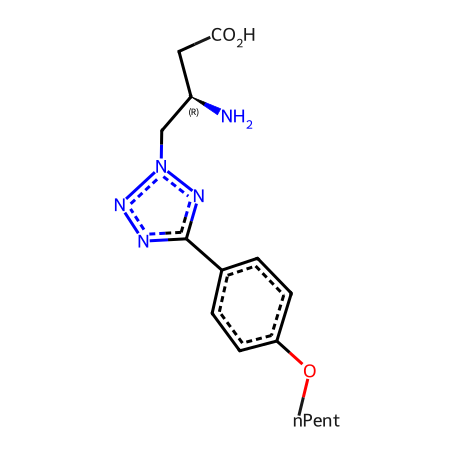 CCCCCOc1ccc(-c2nnn(C[C@H](N)CC(=O)O)n2)cc1